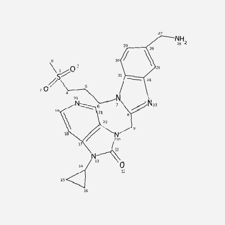 CS(=O)(=O)CCCn1c(Cn2c(=O)n(C3CC3)c3ccncc32)nc2cc(CN)ccc21